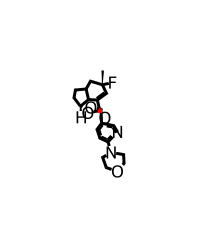 C[C@@]1(F)C=C2C(=O)O[C@@H]3CCC(C1)[C@]23OCc1ccc(N2CCOCC2)nc1